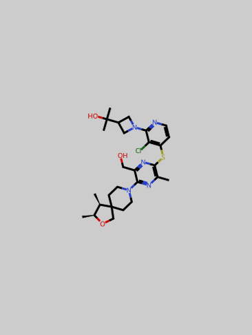 Cc1nc(N2CCC3(CC2)CO[C@@H](C)[C@H]3C)c(CO)nc1Sc1ccnc(N2CC(C(C)(C)O)C2)c1Cl